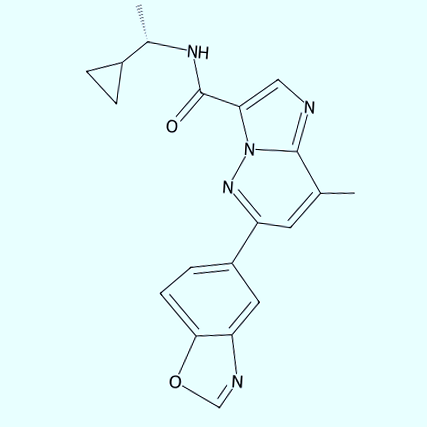 Cc1cc(-c2ccc3ocnc3c2)nn2c(C(=O)N[C@@H](C)C3CC3)cnc12